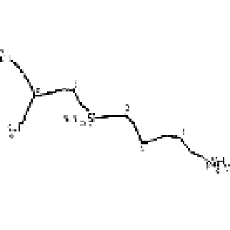 NCCC[SiH2]CC(Cl)Cl